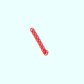 CCOCCOCCOCCOCCOCCOCCOCCOCCOCCOCCOCCOCCOCCOOC(COC)COC